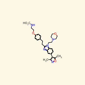 Cc1noc(C)c1-c1ccc2c(c1)nc(CCc1ccc(OCCNC(=O)O)cc1)n2CCN1CCOCC1